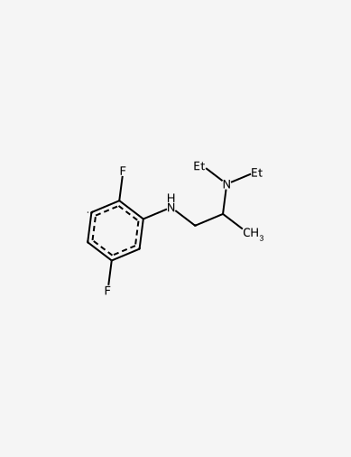 CCN(CC)C(C)CNc1cc(F)c[c]c1F